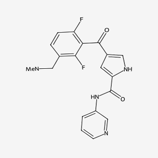 CNCc1ccc(F)c(C(=O)c2c[nH]c(C(=O)Nc3cccnc3)c2)c1F